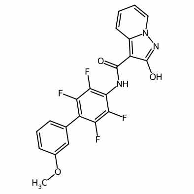 COc1cccc(-c2c(F)c(F)c(NC(=O)c3c(O)nn4ccccc34)c(F)c2F)c1